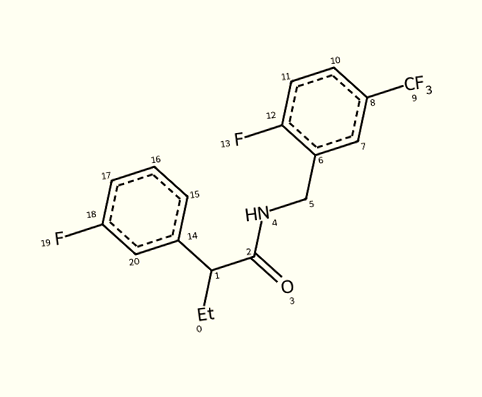 CCC(C(=O)NCc1cc(C(F)(F)F)ccc1F)c1cccc(F)c1